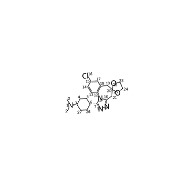 CN(C)[C@H]1CC[C@H](c2nnc3n2-c2ccc(Cl)cc2CC2(C3)OCCO2)CC1